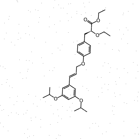 CCOC(=O)[C@H](Cc1ccc(OCC=Cc2cc(OC(C)C)cc(OC(C)C)c2)cc1)OCC